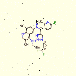 Cc1nc(F)ccc1[C@H](Nc1cc(C#N)c2ncc(C#N)c(NCC(C)(C)C)c2c1)c1cn([C@@H]2C[C@H]2C(F)F)nn1